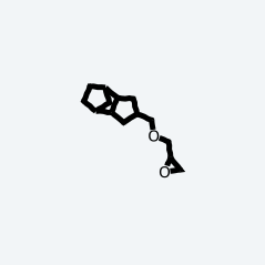 C(OCC1CO1)C1CC2C3CCC(C3)C2C1